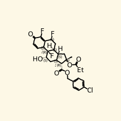 CCC(=O)O[C@@]1(C)C[C@H]2[C@@H]3C[C@H](F)C4=C(F)C(=O)C=C[C@]4(C)[C@@]3(F)[C@@H](O)C[C@]2(C)[C@H]1C(=O)OCc1ccc(Cl)cc1